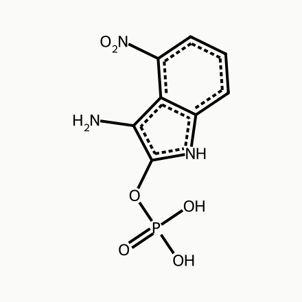 Nc1c(OP(=O)(O)O)[nH]c2cccc([N+](=O)[O-])c12